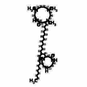 CCCCCCCCCCCC(CCCCCCCCCCCCC1CC(=O)NCCCN(C)CCCCN(C)CCCN1C)CC1CC(=O)NCCCNCCCN1